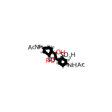 CC(=O)Nc1ccc(C(O)=C(O)c2ccc(NC(C)=O)cc2S(=O)(=O)O)c(S(=O)(=O)O)c1